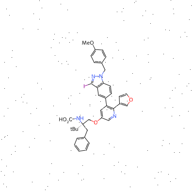 COc1ccc(Cn2nc(I)c3cc(-c4cc(OC[C@@](Cc5ccccc5)(NC(=O)O)C(C)(C)C)cnc4-c4ccoc4)ccc32)cc1